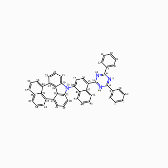 c1ccc(-c2nc(-c3ccccc3)nc(-c3ccc(-n4c5cccc6c5c5c(cccc54)-c4cccc5cccc-6c45)c4ccccc34)n2)cc1